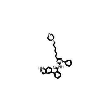 O=C(Nc1nc(CCCCCCN2CCOCC2)cn1-c1ccccc1)c1ccccc1-c1ccc2[nH]ncc2c1